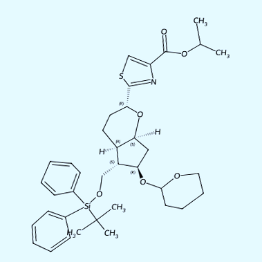 CC(C)OC(=O)c1csc([C@H]2CC[C@@H]3[C@@H](CO[Si](c4ccccc4)(c4ccccc4)C(C)(C)C)[C@H](OC4CCCCO4)C[C@@H]3O2)n1